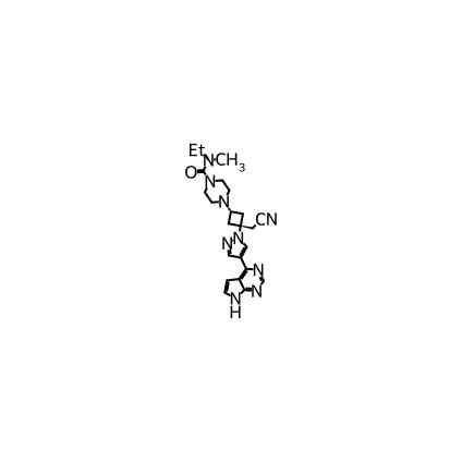 CCN(C)C(=O)N1CCN([C@H]2C[C@](CC#N)(n3cc(-c4ncnc5[nH]ccc45)cn3)C2)CC1